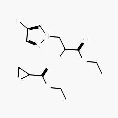 CCOC(=O)C(O)Cn1cc(F)cn1.CCOC(=O)C1CO1